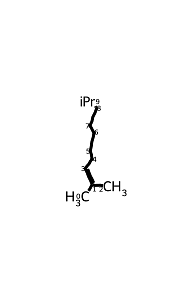 CC(C)=CCCCCCC(C)C